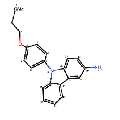 COCCOc1ccc(-n2c3ccccc3c3cc(N)ccc32)cc1